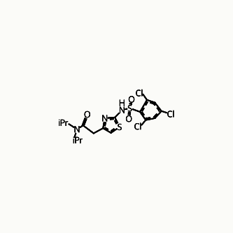 CC(C)N(C(=O)Cc1csc(NS(=O)(=O)c2c(Cl)cc(Cl)cc2Cl)n1)C(C)C